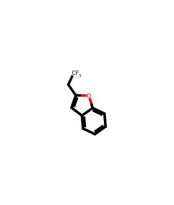 FC(F)(F)Cc1cc2ccccc2o1